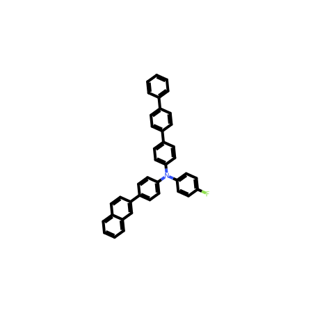 Fc1ccc(N(c2ccc(-c3ccc(-c4ccccc4)cc3)cc2)c2ccc(-c3ccc4ccccc4c3)cc2)cc1